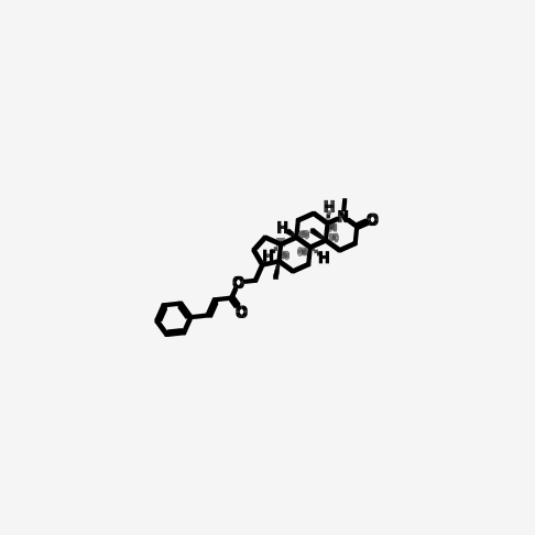 CN1C(=O)CC[C@]2(C)[C@H]3CC[C@]4(C)C(COC(=O)C=Cc5ccccc5)CC[C@H]4[C@@H]3CC[C@@H]12